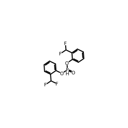 O=[PH](Oc1ccccc1C(F)F)Oc1ccccc1C(F)F